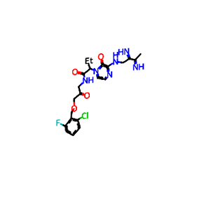 CCC(C(=O)NCC(=O)COCc1c(F)cccc1Cl)n1ccnc(NCC(=N)C(C)=N)c1=O